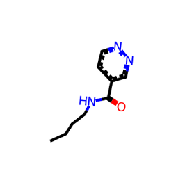 CCCCNC(=O)c1ccnnc1